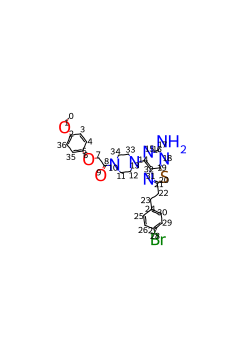 COc1ccc(OCC(=O)N2CCN(c3nc(N)nc4sc(CCc5ccc(Br)cc5)nc34)CC2)cc1